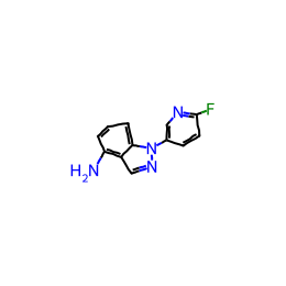 Nc1cccc2c1cnn2-c1ccc(F)nc1